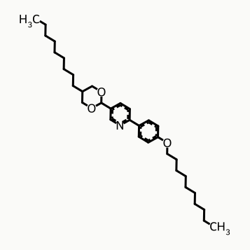 CCCCCCCCCCOc1ccc(-c2ccc(C3OCC(CCCCCCCCC)CO3)cn2)cc1